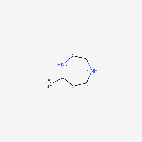 FC(F)(F)C1CCNCCN1